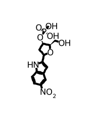 O=[N+]([O-])c1ccc2[nH]c(C3C[C@H](OP(=O)(O)O)[C@@H](CO)O3)cc2c1